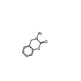 CC(C)N1Cc2ccccc2SC1=O